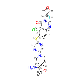 C[C@@H]1OCC2(CCN(c3cnc(Sc4ccc5ncn(CC6(F)COC6)c(=O)c5c4Cl)cn3)CC2)[C@@H]1N